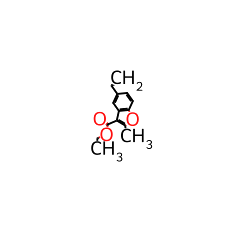 C=Cc1ccc2oc(C)c(C(=O)OCC)c2c1